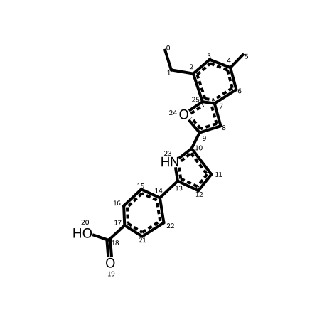 CCc1cc(C)cc2cc(-c3ccc(-c4ccc(C(=O)O)cc4)[nH]3)oc12